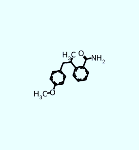 COc1ccc(CC(C)c2ccccc2C(N)=O)cc1